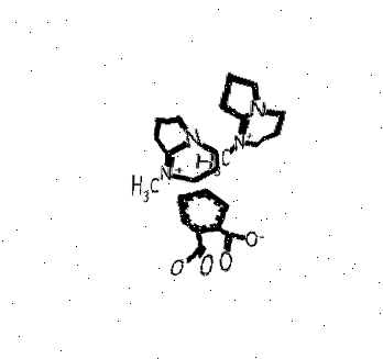 C[N+]1=C2CCCN2CCC1.C[N+]1=C2CCCN2CCC1.O=C([O-])c1ccccc1C(=O)[O-]